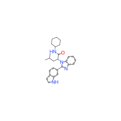 CC(C)CC(C(=O)NC1CCCCC1)n1c(-c2ccc3cc[nH]c3c2)nc2ccccc21